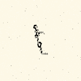 COCCON=C1CCN(CCn2ncc3c2nc(N)n2nc(-c4ccco4)nc32)CC1